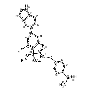 CCO[C@@](OC(C)=O)(C(=O)NCc1ccc(C(=N)N)cc1)c1c(F)cc(-c2ccc3[nH]ccc3c2)cc1F